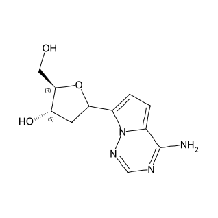 Nc1ncnn2c(C3C[C@H](O)[C@@H](CO)O3)ccc12